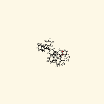 CC1(C)c2ccccc2Sc2c(cccc2[Si](c2ccccc2)(c2ccccc2)c2ccc(-n3c4ccccc4n4c5ccccc5nc34)cc2)C1(C)C